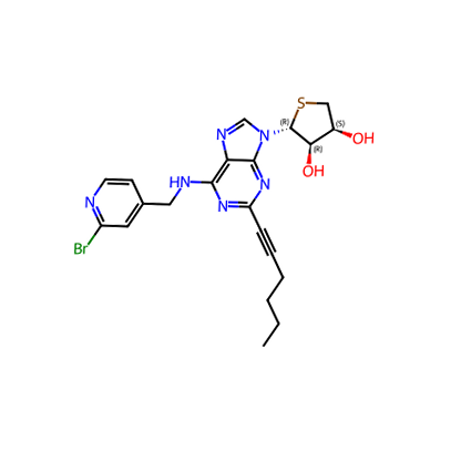 CCCCC#Cc1nc(NCc2ccnc(Br)c2)c2ncn([C@@H]3SC[C@@H](O)[C@H]3O)c2n1